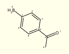 Bc1ccc(C(C)=O)cc1